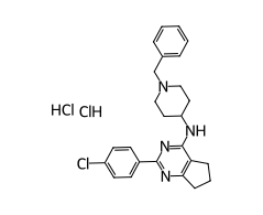 Cl.Cl.Clc1ccc(-c2nc3c(c(NC4CCN(Cc5ccccc5)CC4)n2)CCC3)cc1